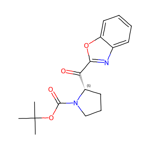 CC(C)(C)OC(=O)N1CCC[C@H]1C(=O)c1nc2ccccc2o1